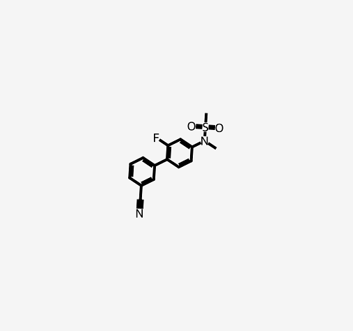 CN(c1ccc(-c2cccc(C#N)c2)c(F)c1)S(C)(=O)=O